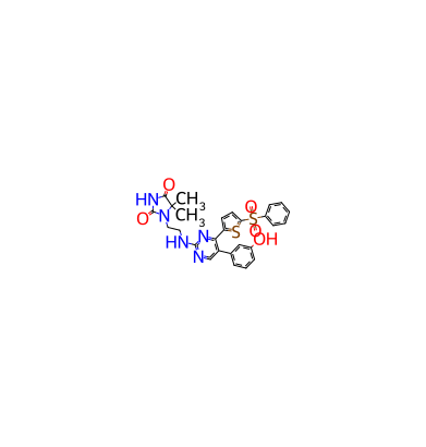 CC1(C)C(=O)NC(=O)N1CCNc1ncc(-c2cccc(O)c2)c(-c2ccc(S(=O)(=O)c3ccccc3)s2)n1